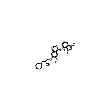 COc1cc2c(Nc3cccc4c(Cl)c[nH]c34)ncnc2cc1OC[C@@H](O)CN1CCCCC1